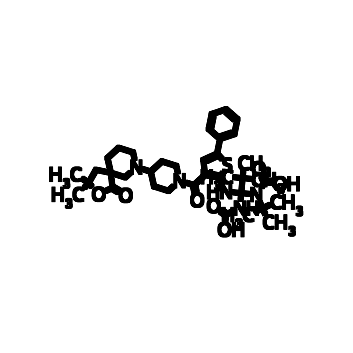 CC1(C)CC2(CCCN(C3CCN(C(=O)c4cc(-c5ccccc5)sc4NC(NC(=O)O)(N(C(=O)O)C(C)(C)C)C(C)(C)C)CC3)C2)C(=O)O1